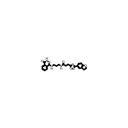 O=C(CCc1nc(-c2ccc3c(c2)CCO3)no1)NCCCNc1n[nH]c(=O)c2ccccc12